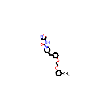 Cc1cccc(OCCOc2cccc(C=C3CCN(C(=O)Nc4cnoc4)CC3)c2)c1